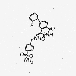 NS(=O)(=O)c1ccc(CN/C=C2\C(=O)NC(=O)c3ccc(-c4ccccc4F)cc32)cc1